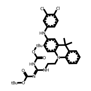 CC(C)(C)OC(=O)/N=C(/NCCN1c2ccccc2C(C)(C)c2cc(Nc3ccc(Cl)c(Cl)c3)ccc21)NC(=O)OC(C)(C)C